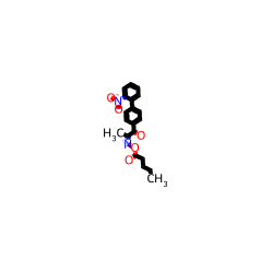 CCCCC(=O)O/N=C(/C)C(=O)c1ccc(-c2ccccc2[N+](=O)[O-])cc1